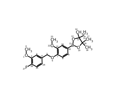 COc1cc(COc2ccc(B3OC(C)(C)C(C)(C)O3)cc2OC)ccc1F